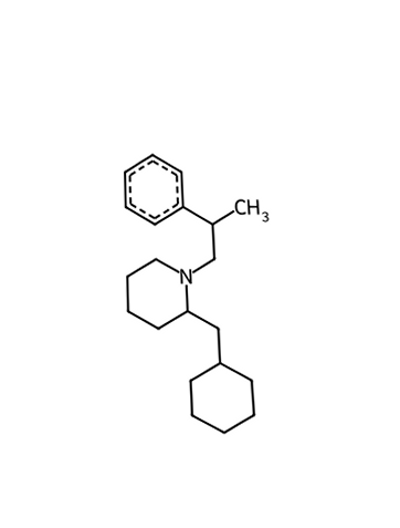 CC(CN1CCCCC1CC1CCCCC1)c1ccccc1